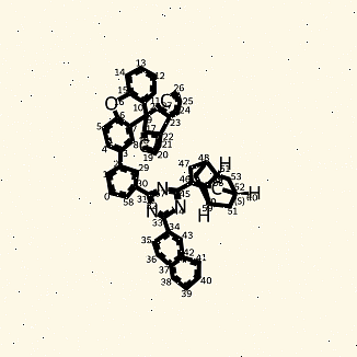 c1cc(-c2ccc3c(c2)C2(c4ccccc4O3)c3ccccc3-c3ccccc32)cc(-c2nc(-c3ccc4ccccc4c3)nc(C34CC5C[C@@H]6C[C@@H](C[C@@H]5C63)C4)n2)c1